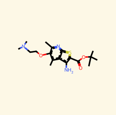 Cc1nc2sc(C(=O)OC(C)(C)C)c(N)c2c(C)c1OCCN(C)C